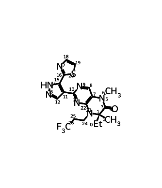 CC[C@]1(C)C(=O)N(C)c2cnc(-c3cn[nH]c3-c3nccs3)nc2N1CCC(F)(F)F